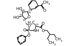 CCC(CC)COC(=O)[C@H](C)NP(=O)(OC[C@H]1O[C@@H](N2C=CCC(C(C)=O)=C2)[C@H](O)[C@@H]1O)Oc1ccccc1